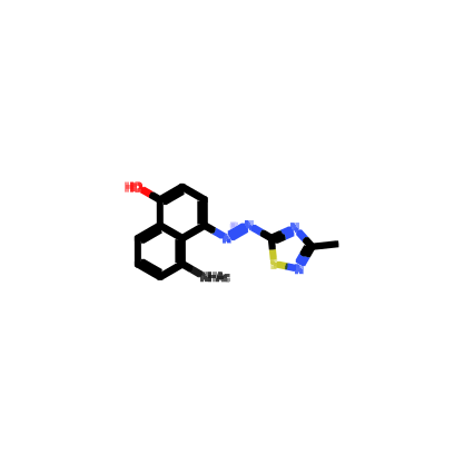 CC(=O)Nc1cccc2c(O)ccc(/N=N/c3nc(C)ns3)c12